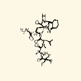 CC(C)C[C@@H](C(=O)N1C[C@]2(C[C@H]1C(N)=O)C(=O)Nc1c3c(nn12)CCCC3)N(C)C(=O)[C@H](C)NC(=O)C(F)(F)F